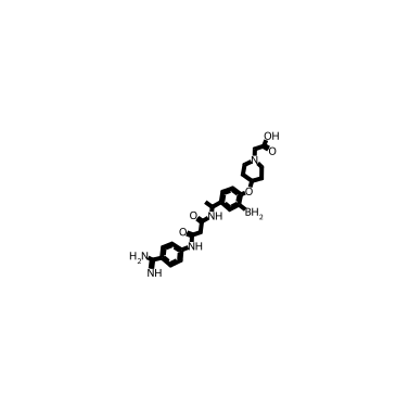 Bc1cc(C(C)NC(=O)CC(=O)Nc2ccc(C(=N)N)cc2)ccc1OC1CCN(CC(=O)O)CC1